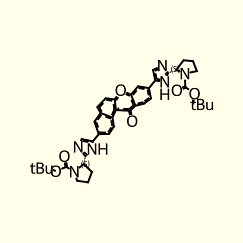 CC(C)(C)OC(=O)N1CCC[C@H]1c1ncc(-c2ccc3c(ccc4oc5cc(-c6cnc([C@@H]7CCCN7C(=O)OC(C)(C)C)[nH]6)ccc5c(=O)c43)c2)[nH]1